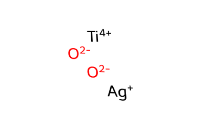 [Ag+].[O-2].[O-2].[Ti+4]